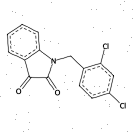 O=C1C(=O)N(Cc2ccc(Cl)cc2Cl)c2ccccc21